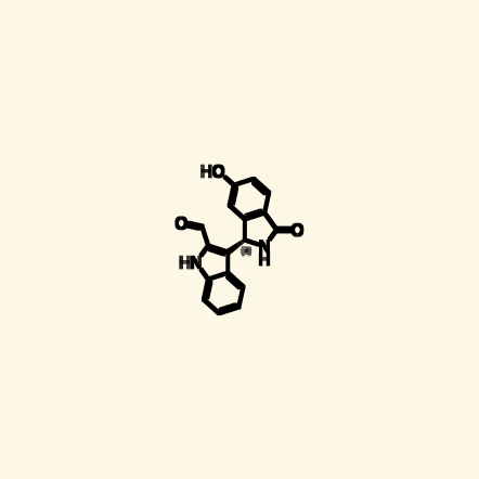 O=Cc1[nH]c2ccccc2c1[C@@H]1NC(=O)c2ccc(O)cc21